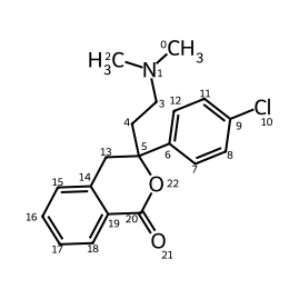 CN(C)CCC1(c2ccc(Cl)cc2)Cc2ccccc2C(=O)O1